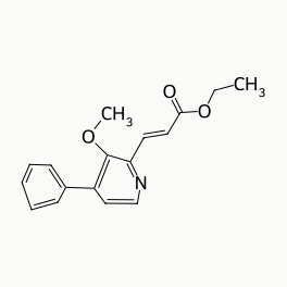 CCOC(=O)C=Cc1nccc(-c2ccccc2)c1OC